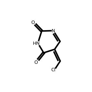 O=C1N=CC(=CCl)C(=O)N1